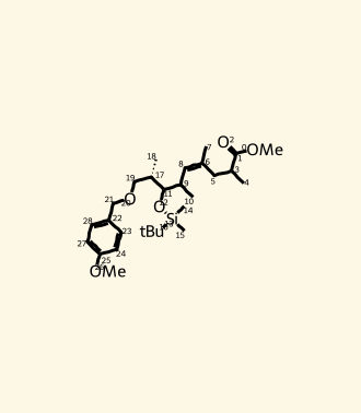 COC(=O)C(C)CC(C)=CC(C)C(O[Si](C)(C)C(C)(C)C)[C@@H](C)COCc1ccc(OC)cc1